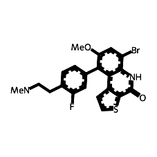 CNCCc1ccc(-c2c(OC)cc(Br)c3[nH]c(=O)c4sccc4c23)cc1F